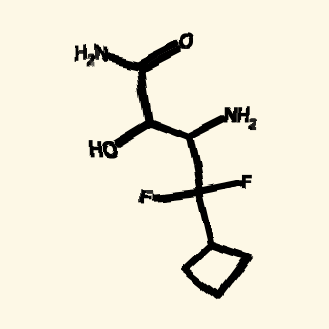 NC(=O)C(O)C(N)C(F)(F)C1CCC1